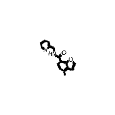 Cc1ccc(C(=O)NCc2ccccn2)c2occc12